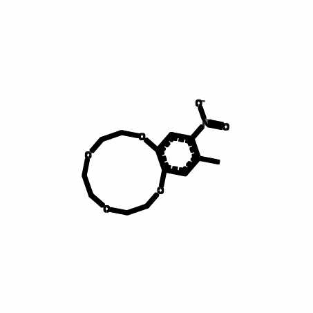 Cc1cc2c(cc1[N+](=O)[O-])OCCOCCOCCO2